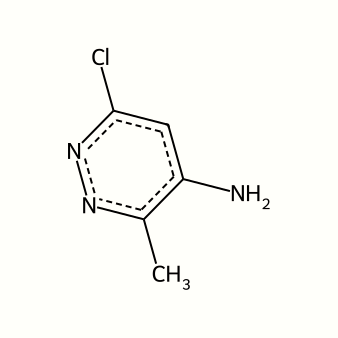 Cc1nnc(Cl)cc1N